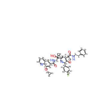 C[C@]1(C(=O)NCCc2ccccc2)COc2c1cc([C@@](O)(CNC(=O)c1cc(OC3CC3)c3ncccc3c1)C(F)(F)F)nc2-c1ccc(F)cc1